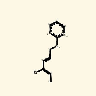 CC=C(C=CCSc1ncccn1)CC